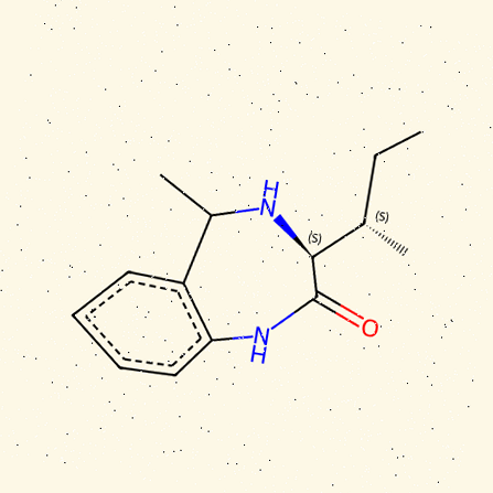 CC[C@H](C)[C@@H]1NC(C)c2ccccc2NC1=O